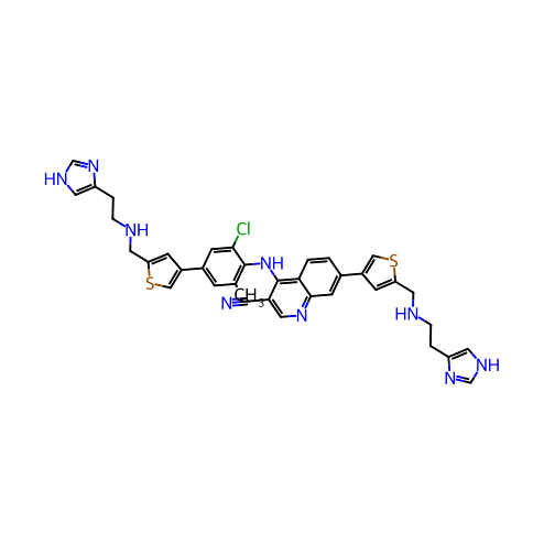 Cc1cc(-c2csc(CNCCc3c[nH]cn3)c2)cc(Cl)c1Nc1c(C#N)cnc2cc(-c3csc(CNCCc4c[nH]cn4)c3)ccc12